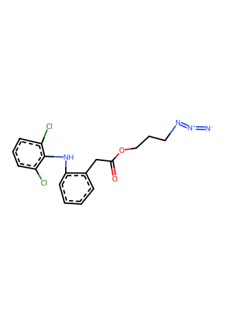 [N-]=[N+]=NCCCOC(=O)Cc1ccccc1Nc1c(Cl)cccc1Cl